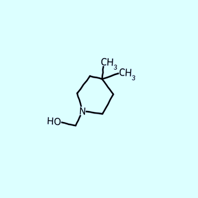 CC1(C)CCN(CO)CC1